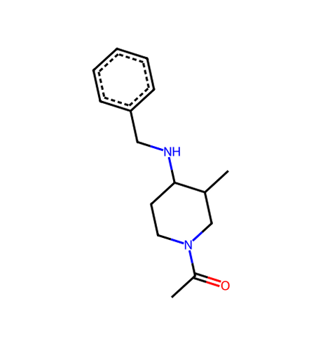 CC(=O)N1CCC(NCc2ccccc2)C(C)C1